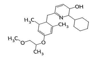 COCC(C)OC1=CC(C)C(CC2=NC(C3CCCCC3)C(O)C=C2)C(C)=C1